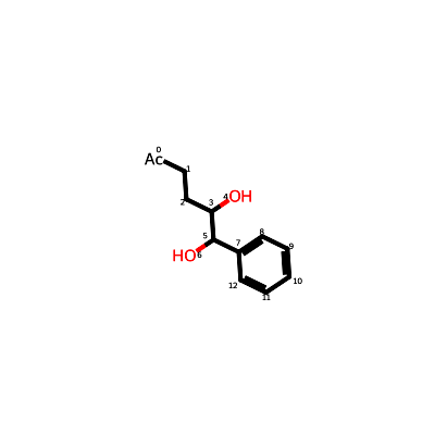 CC(=O)CCC(O)C(O)c1ccccc1